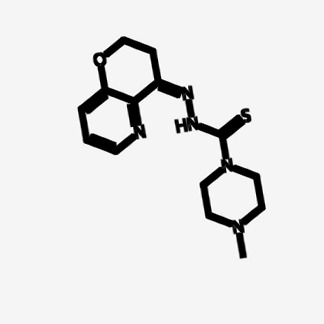 CN1CCN(C(=S)N/N=C2/CCOc3cccnc32)CC1